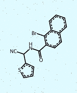 N#CC(NC(=O)c1ccc2ccccc2c1Br)c1cccs1